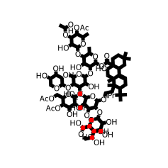 CCCC(C)(C)C1CC=C2C3CC(C)(C)CCC3(C(=O)OC3OC(C)C(OC4OC(C)C(OC(C)=O)C(OC(C)O)C4O)C(O)C3OC3OC(C)C(OC4OCC(O)C(O)C4O)C(OC4OC(COC(C)=O)C(OC(C)=O)C(O)C4O)C3O)C(O)CC2(C)C1(C)CCOC1OC(C(=O)O)C(O)C(OOC2COCC(O)C2O)C1OC1OC(CO)C(O)C(O)C1O